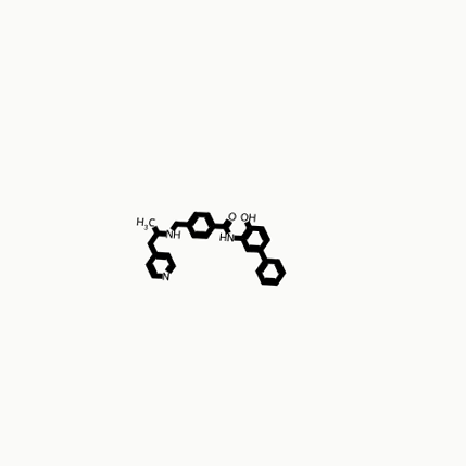 CC(Cc1ccncc1)NCc1ccc(C(=O)Nc2cc(-c3ccccc3)ccc2O)cc1